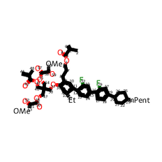 C=C(C)C(=O)OCCCc1cc(-c2ccc(-c3ccc(C4CCC(CCCCC)CC4)cc3F)cc2F)c(CC)cc1OCC(COC(=O)C(=C)C)(COC(=O)C(=O)OC)COC(=O)C(=O)OC